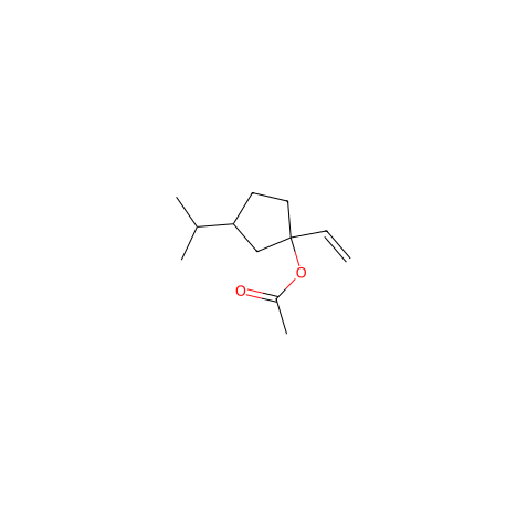 C=CC1(OC(C)=O)CCC(C(C)C)C1